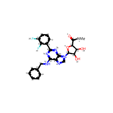 CNC(=O)C1OC(n2cnc3c(NCc4ccccc4)nc(-c4cccc(F)c4F)nc32)C(O)C1O